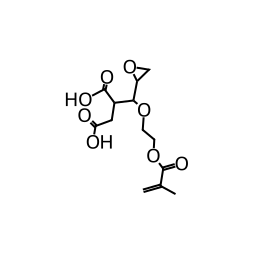 C=C(C)C(=O)OCCOC(C1CO1)C(CC(=O)O)C(=O)O